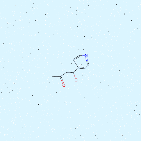 CC(=O)CC(O)c1ccncc1